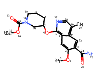 CC(C)Oc1cc2c(OC3CCCN(C(=O)OC(C)(C)C)C3)ncc(C#N)c2cc1C(N)=O